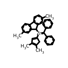 CC1=C(C)C[C]([Zr](=[C](c2ccccc2)c2ccccc2)[CH]2c3cc(C)ccc3-c3ccc(C)cc32)=C1